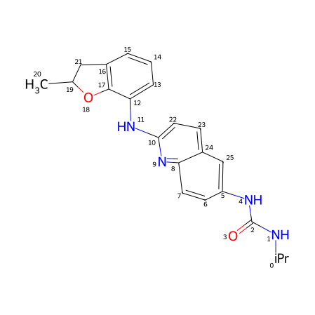 CC(C)NC(=O)Nc1ccc2nc(Nc3cccc4c3OC(C)C4)ccc2c1